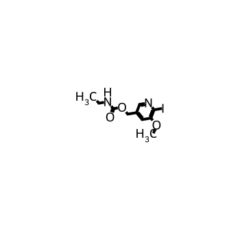 CCNC(=O)OCc1cnc(I)c(OC)c1